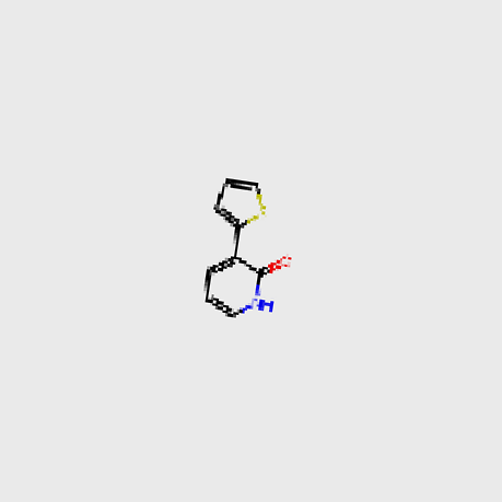 O=c1[nH]cccc1-c1cccs1